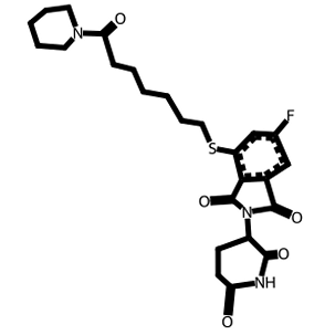 O=C1CCC(N2C(=O)c3cc(F)cc(SCCCCCCC(=O)N4CCCCC4)c3C2=O)C(=O)N1